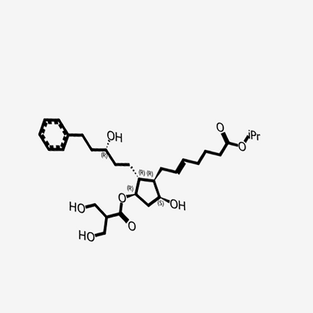 CC(C)OC(=O)CCCC=CC[C@@H]1[C@@H](CC[C@@H](O)CCc2ccccc2)[C@H](OC(=O)C(CO)CO)C[C@@H]1O